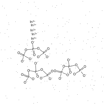 O=P([O-])([O-])OP(=O)([O-])OP(=O)([O-])[O-].O=P([O-])([O-])OP(=O)([O-])OP(=O)([O-])[O-].O=P([O-])([O-])OP(=O)([O-])OP(=O)([O-])[O-].[In+3].[In+3].[In+3].[In+3].[In+3]